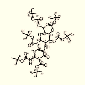 CC(C)(C)OC(=O)Nc1nc2c(c(=O)n1C(=O)OC(C)(C)C)NC1C(OC(=O)OC(C)(C)C)C(OC(=O)OC(C)(C)C)C(COC(=O)OC(C)(C)C)OC1N2C(=O)OC(C)(C)C